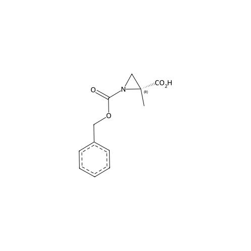 C[C@]1(C(=O)O)CN1C(=O)OCc1ccccc1